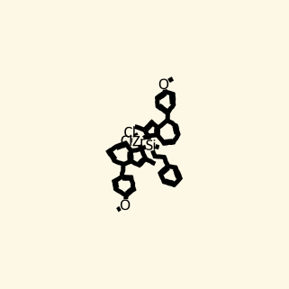 COc1ccc(C2C=CC=CC3=C2C=C(C)[C]32[Si](C)(CCc3ccccc3)[C]3(C(C)=CC4=C3C=CC=CC4c3ccc(OC)cc3)[Zr]2([Cl])[Cl])cc1